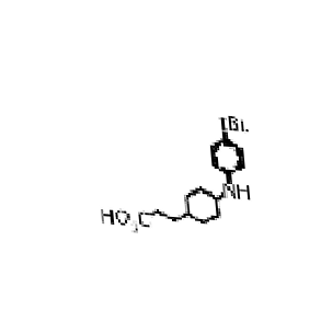 CC(C)(C)c1ccc(NC2CCC(CCC(=O)O)CC2)cc1